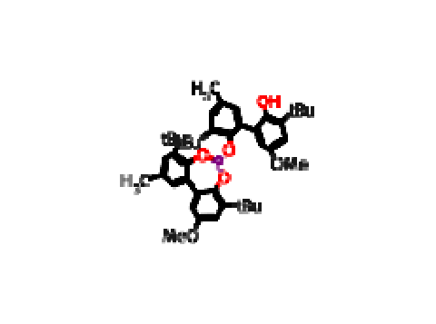 COc1cc(-c2cc(C)cc(C(C)(C)C)c2Op2oc3c(C(C)(C)C)cc(C)cc3c3cc(OC)cc(C(C)(C)C)c3o2)c(O)c(C(C)(C)C)c1